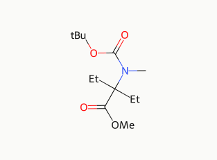 CCC(CC)(C(=O)OC)N(C)C(=O)OC(C)(C)C